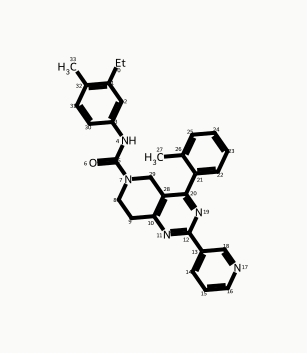 CCc1cc(NC(=O)N2CCc3nc(-c4cccnc4)nc(-c4ccccc4C)c3C2)ccc1C